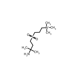 CC(C)(N)CCS(=O)(=O)CCC[N+](C)(C)C